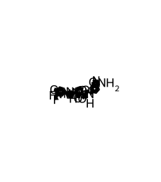 CC(O)(C(=O)Nc1ccc2c(N)noc2c1)C1OCCN(c2ccn(-c3ccc(=O)n(C(F)F)c3)n2)C1=O